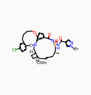 CO[C@H]1/C=C/C[C@H](C)CS(=O)(NC(=O)c2cnn(C(C)C)c2)=NC(=O)c2ccc3c(c2)N(Cc2ccc(Cl)cc2CCCCO3)C[C@@H]2CC[C@H]21